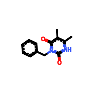 Cc1[nH]c(=O)n(Cc2ccccc2)c(=O)c1C